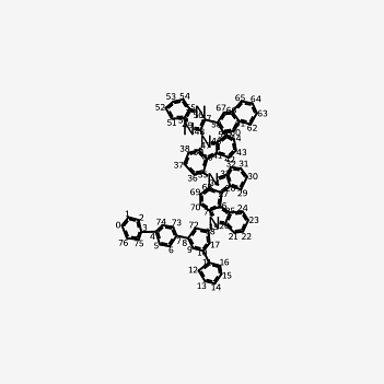 c1ccc(-c2ccc(-c3cc(-c4ccccc4)cc(-n4c5ccccc5c5c6c7ccccc7n(-c7cccc8c7c7ccccc7n8-c7nc8ccccc8nc7-c7ccc8ccccc8c7)c6ccc54)c3)cc2)cc1